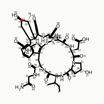 CCC(C)[C@@H]1NC(=O)[C@@H]2C[C@@H](O)CN2C(=O)[C@H](CC(=O)O)NC(=O)[C@@H]2CSc3[nH]c4ccc(cc4c3C[C@@H](C(=O)NCC(N)=O)NC1=O)NC(=O)CC(CCS)[C@@H]([C@@H](C)CC)C(=O)NCC(=O)N2